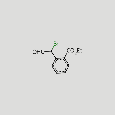 CCOC(=O)c1ccccc1C(Br)C=O